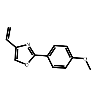 C=Cc1coc(-c2ccc(OC)cc2)n1